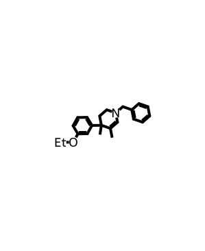 CCOc1cccc(C2(C)CCN(Cc3ccccc3)C=C2C)c1